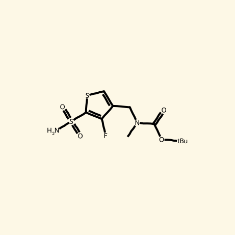 CN(Cc1csc(S(N)(=O)=O)c1F)C(=O)OC(C)(C)C